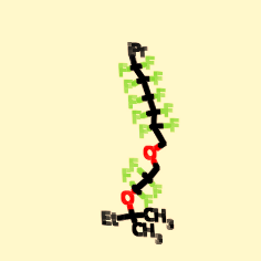 CCC(C)(C)OC(F)(F)C(F)(F)COCC(F)(F)C(F)(F)C(F)(F)C(F)(F)C(F)(F)C(C)C